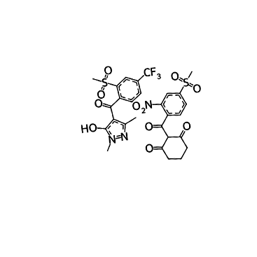 CS(=O)(=O)c1ccc(C(=O)C2C(=O)CCCC2=O)c([N+](=O)[O-])c1.Cc1nn(C)c(O)c1C(=O)c1ccc(C(F)(F)F)cc1S(C)(=O)=O